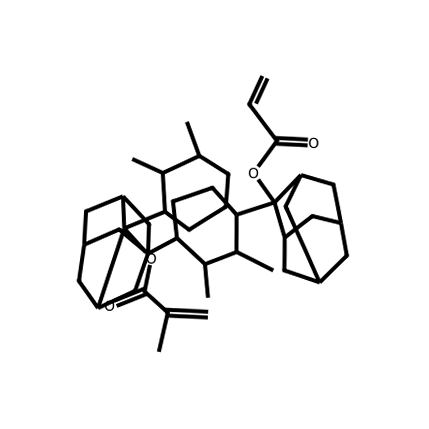 C=CC(=O)OC1(C2CCC(C34CC5CC(C3)C(OC(=O)C(=C)C)(C3CCCC(C)C3C)C(C5)C4)C(C)C2C)C2CC3CC(C2)CC1C3